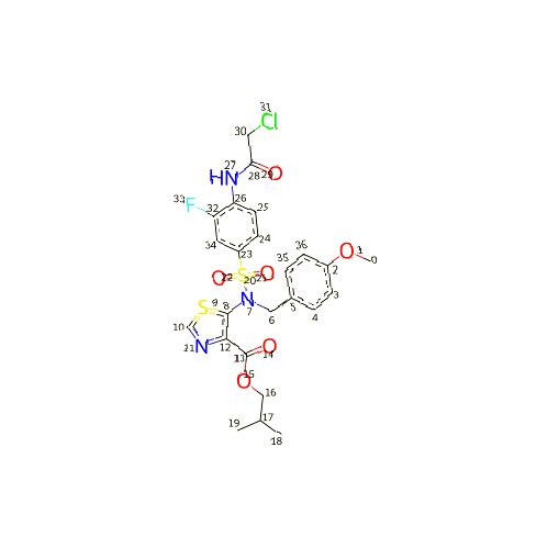 COc1ccc(CN(c2scnc2C(=O)OCC(C)C)S(=O)(=O)c2ccc(NC(=O)CCl)c(F)c2)cc1